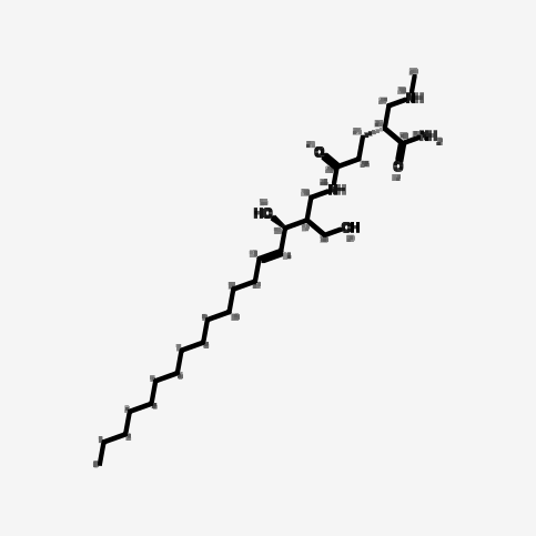 CCCCCCCCCCCCC/C=C/[C@@H](O)C(CO)CNC(=O)CC[C@H](CNC)C(N)=O